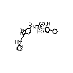 Cn1nc(CCCNc2ccccn2)c2ccc(C(=O)NCC(NS(=O)(=O)c3ccc(-c4ccccc4)cc3)C(=O)O)cc21